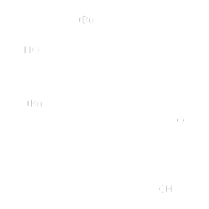 C#CC(=O)CCc1cc(C(C)(C)C)c(O)c(C(C)(C)C)c1